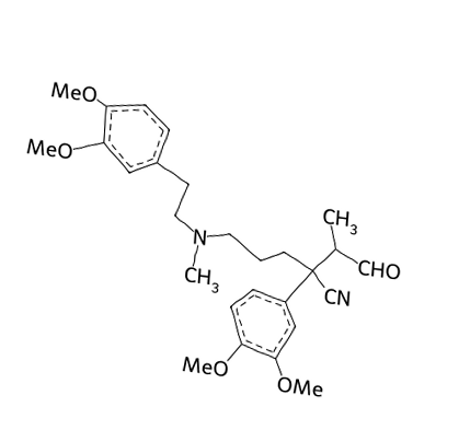 COc1ccc(CCN(C)CCCC(C#N)(c2ccc(OC)c(OC)c2)C(C)C=O)cc1OC